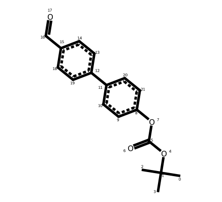 CC(C)(C)OC(=O)Oc1ccc(-c2ccc(C=O)cc2)cc1